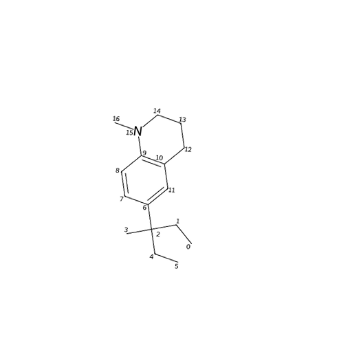 CCC(C)(CC)c1ccc2c(c1)CCCN2C